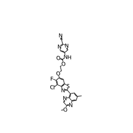 COc1cnc2c(-c3nc4c(Cl)c(F)c(OCCOC(=O)Nc5cnc(C#N)nc5)cc4s3)cc(C)cc2n1